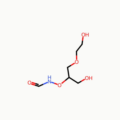 O=CNOC(CO)COCCO